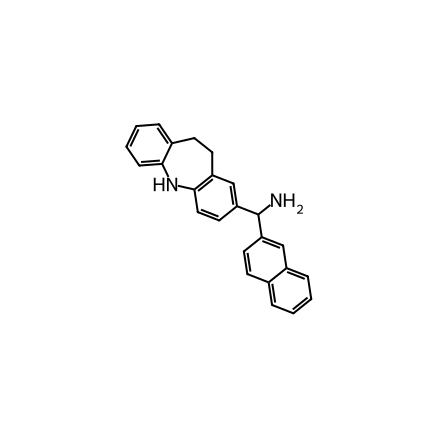 NC(c1ccc2c(c1)CCc1ccccc1N2)c1ccc2ccccc2c1